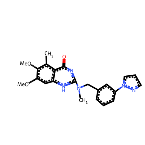 COc1cc2[nH]c(N(C)Cc3cccc(-n4cccn4)c3)nc(=O)c2c(C)c1OC